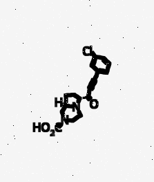 O=C(C#Cc1cccc(Cl)c1)[C@H]1CC[C@H]2CN(C(=O)O)CCN21